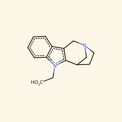 O=C(O)Cn1c2c(c3ccccc31)CN1CCC2C1